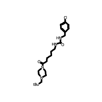 CC(C)(C)CN1CCN(C(=O)CCCCCNC(=O)NCc2ccc(Cl)cc2)CC1